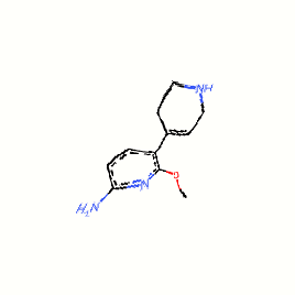 COc1nc(N)ccc1C1=CCNCC1